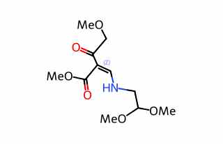 COCC(=O)/C(=C/NCC(OC)OC)C(=O)OC